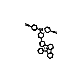 N#CC1C=CC(NC2C=C[C@@H](C3C=CC=C(C4CCC=C5C6=C(CCC=C6)N(C6=CC=CCC6)[C@@H]54)C3)CC2[C@@H]2CC=CC(C#N)C2)=CC1